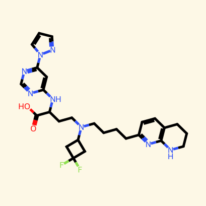 O=C(O)C(CCN(CCCCc1ccc2c(n1)NCCC2)C1CC(F)(F)C1)Nc1cc(-n2cccn2)ncn1